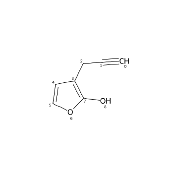 C#CCc1ccoc1O